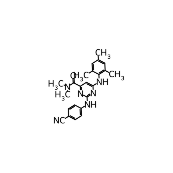 Cc1cc(C)c(Nc2cc(C(=O)N(C)C)nc(Nc3ccc(C#N)cc3)n2)c(C)c1